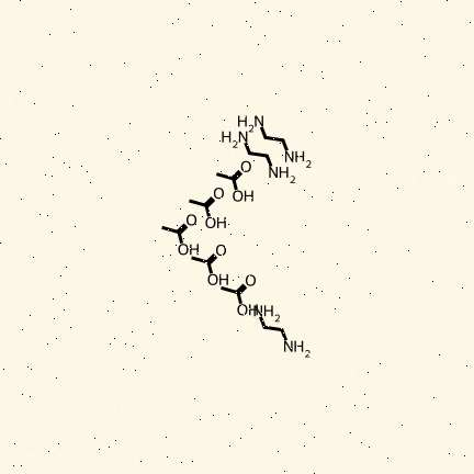 CC(=O)O.CC(=O)O.CC(=O)O.CC(=O)O.CC(=O)O.NCCN.NCCN.NCCN